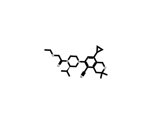 CCOCC(=O)N1CCN(c2cc(C3CC3)c3c(c2C#N)CC(C)(C)OC3)C[C@H]1C(C)C